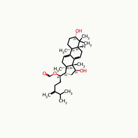 C=C(CC[C@@H](OC=O)[C@H]1C[C@H](O)[C@@]2(C)C3=CC[C@H]4C(C)(C)[C@@H](O)CC[C@]4(C)C3=CC[C@]12C)C(C)C